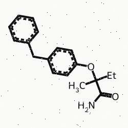 CCC(C)(Oc1ccc(Cc2ccccc2)cc1)C(N)=O